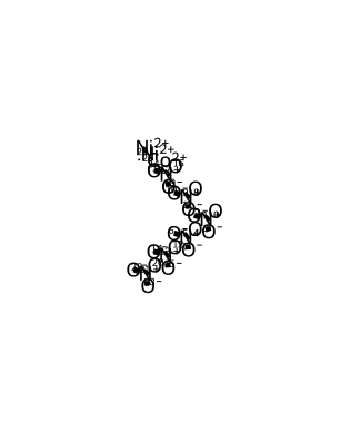 O=[N+]([O-])[O-].O=[N+]([O-])[O-].O=[N+]([O-])[O-].O=[N+]([O-])[O-].O=[N+]([O-])[O-].O=[N+]([O-])[O-].[Co+2].[Ni+2].[Ni+2]